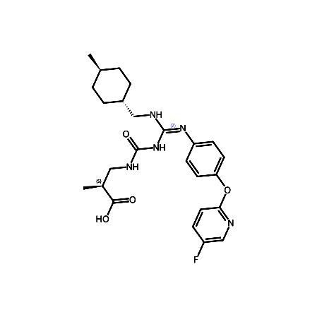 C[C@@H](CNC(=O)N/C(=N\c1ccc(Oc2ccc(F)cn2)cc1)NC[C@H]1CC[C@H](C)CC1)C(=O)O